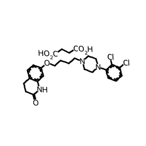 O=C(O)CCC(=O)O.O=C1CCc2ccc(OCCCCN3CCN(c4cccc(Cl)c4Cl)CC3)cc2N1